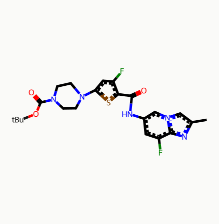 Cc1cn2cc(NC(=O)c3sc(N4CCN(C(=O)OC(C)(C)C)CC4)cc3F)cc(F)c2n1